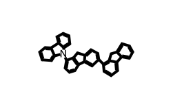 c1ccc2c(c1)Cc1c(-c3ccc4c(c3)-c3cccc(-n5c6ccccc6c6ccccc65)c3C4)cccc1-2